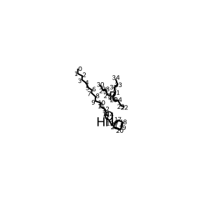 CCCCCCCCCCCCCCONc1ccccc1.CCCCP(CCCC)CCCC